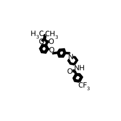 CC(C)=C1Oc2cccc(OCc3ccc(CN4CCC(NC(=O)c5ccc(C(F)(F)F)cc5)CC4)cc3)c2C1=O